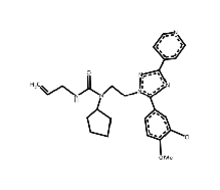 C=CCNC(=O)N(CCn1nc(-c2ccncc2)nc1-c1ccc(OC)c(Cl)c1)C1CCCC1